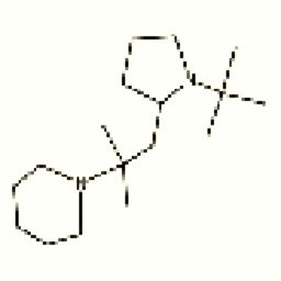 CC(C)(C)N1CCCC1CC(C)(C)N1CCCCC1